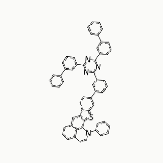 C1=CN(c2ccccc2)c2c3sc4cc(-c5cccc(-c6nc(-c7cccc(-c8ccccc8)c7)nc(-c7cccc(-c8ccccc8)c7)n6)c5)ccc4c3cc3cccc1c23